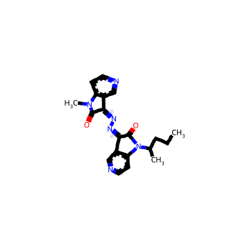 CCCC(C)N1C(=O)/C(=N\N=C2/C(=O)N(C)c3ccncc32)c2cnccc21